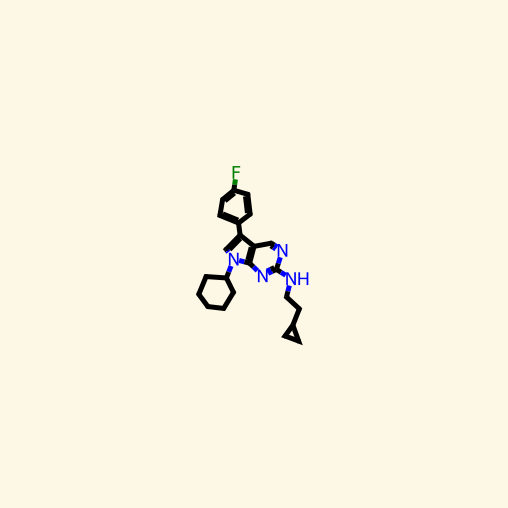 Fc1ccc(-c2cn(C3CCCCC3)c3nc(NCCC4CC4)ncc23)cc1